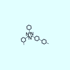 Cc1ccc(-c2ccc(-c3nc(-c4ccccc4)nc(-c4cccc(C)c4)n3)cc2)cc1